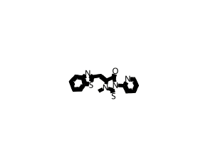 CN1C(=S)N(c2ccccn2)C(=O)C1=Cc1nc2ccccc2s1